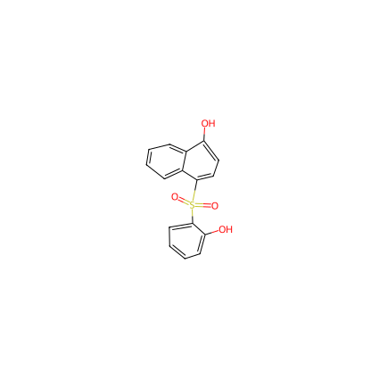 O=S(=O)(c1ccccc1O)c1ccc(O)c2ccccc12